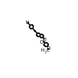 COc1ccc(C(=O)Oc2ccc3cc(C#Cc4ccc(C#N)cc4)ccc3c2)cc1